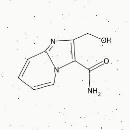 NC(=O)c1c(CO)nc2ccccn12